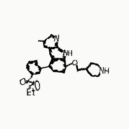 CCS(=O)(=O)c1cccc(-c2ccc(OCC3CCNCC3)c3[nH]c4ncc(C)cc4c23)c1